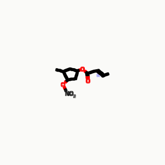 C/C=C/C(=O)OC1CC(C)C(O[N+](=O)[O-])C1